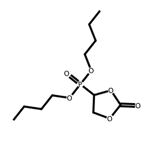 CCCCOP(=O)(OCCCC)C1COC(=O)O1